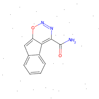 NC(=O)c1nnoc2cc3ccccc3c1-2